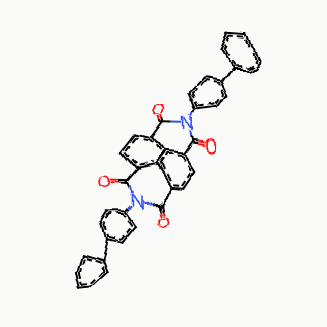 O=C1c2ccc3c4c(ccc(c24)C(=O)N1c1ccc(-c2ccccc2)cc1)C(=O)N(c1ccc(-c2ccccc2)cc1)C3=O